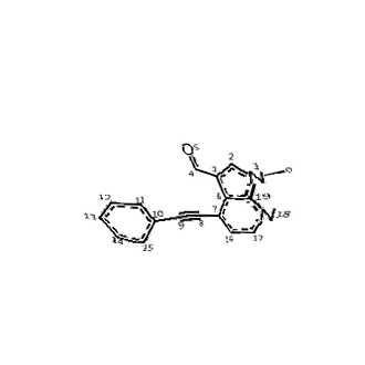 Cn1cc(C=O)c2c(C#Cc3ccccc3)ccnc21